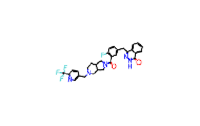 O=C(c1cc(Cc2n[nH]c(=O)c3ccccc23)ccc1F)N1CC2CCN(Cc3ccc(C(F)(F)F)nc3)CC2C1